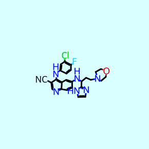 N#Cc1cnc2ccc(NC(CCN3CCOCC3)c3ncc[nH]3)cc2c1Nc1ccc(F)c(Cl)c1